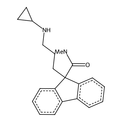 CNC(=O)C1(CCCNC2CC2)c2ccccc2-c2ccccc21